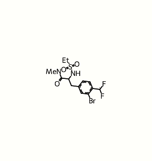 CCS(=O)(=O)NC(Cc1ccc([C](F)F)c(Br)c1)C(=O)NC